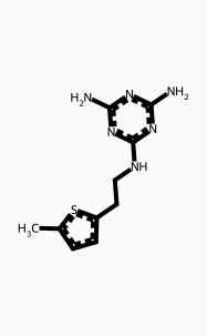 Cc1ccc(CCNc2nc(N)nc(N)n2)s1